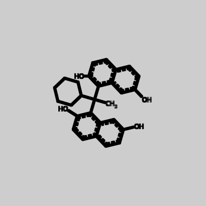 CC(c1c(O)ccc2ccc(O)cc12)(c1c(O)ccc2ccc(O)cc12)C1CCCCC1